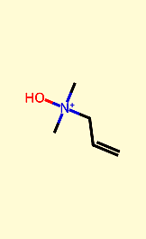 C=CC[N+](C)(C)O